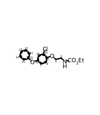 CCOC(=O)NCCOc1ccc(Oc2ccccc2)cc1Cl